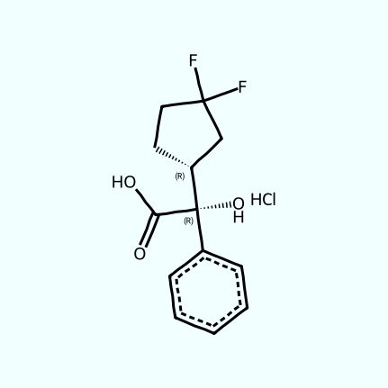 Cl.O=C(O)[C@](O)(c1ccccc1)[C@@H]1CCC(F)(F)C1